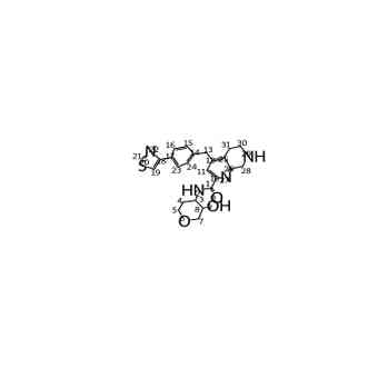 O=C(NC1CCOCC1O)c1cc(Cc2ccc(-c3cscn3)cc2)c2c(n1)CNCC2